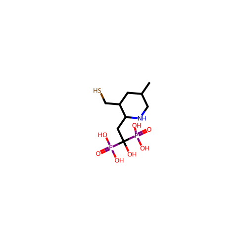 CC1CNC(CC(O)(P(=O)(O)O)P(=O)(O)O)C(CS)C1